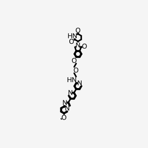 COc1ccc2nc(-c3ccc(-c4ccnc(NCCOCCOc5ccc6c(c5)CN(C5CCC(=O)NC5=O)C6=O)c4)nc3)cn2c1